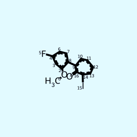 COc1cc(F)ccc1-c1ccccc(I)c1=O